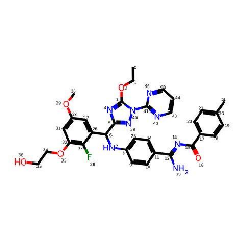 CCOc1nc(C(Nc2ccc(C(N)=NC(=O)c3ccc(C)cc3)cc2)c2cc(OC)cc(OCCO)c2F)nn1-c1ncccn1